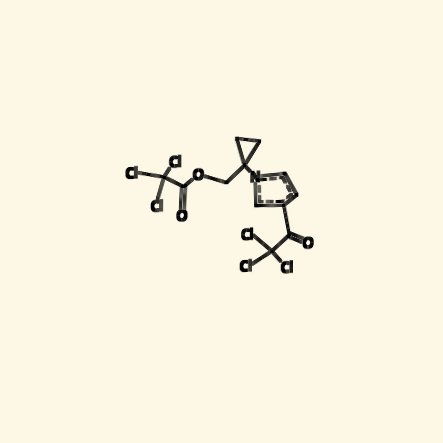 O=C(OCC1(n2ccc(C(=O)C(Cl)(Cl)Cl)c2)CC1)C(Cl)(Cl)Cl